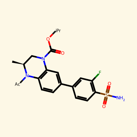 CC(=O)N1c2ccc(-c3ccc(S(N)(=O)=O)c(F)c3)cc2N(C(=O)OC(C)C)C[C@@H]1C